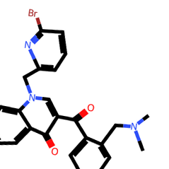 CN(C)Cc1ccccc1C(=O)c1cn(Cc2cccc(Br)n2)c2ccccc2c1=O